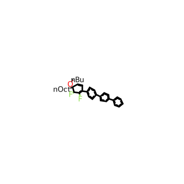 CCCCCCCCC1(OCCCC)C=CC(c2ccc(-c3ccc(-c4ccccc4)cc3)cc2)=C(F)C1F